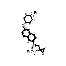 CCOC(=O)C1(CN(C)c2ccc3cc(O[C@H]4CC[C@H](C(C)(C)C)CC4)ccc3c2)CC1